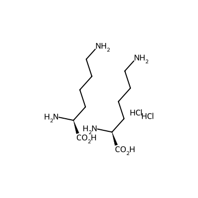 Cl.Cl.NCCCC[C@H](N)C(=O)O.NCCCC[C@H](N)C(=O)O